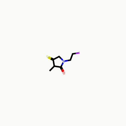 CC1C(=O)N(CCI)CC1=S